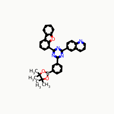 CC1(C)OB(c2cccc(-c3nc(-c4ccc5ncccc5c4)nc(-c4cccc5c4oc4ccccc45)n3)c2)OC1(C)C